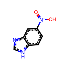 O=[N+](O)c1ccc2[nH]cnc2c1